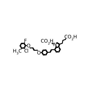 Cc1ccc(F)c(OCC=CCOc2ccc(C=Cc3cccc4c(CCCC(=O)O)cn(CC(=O)O)c34)cc2)c1Cl